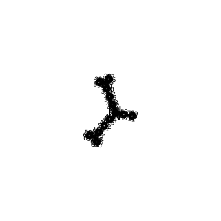 c1ccc(-c2ccc(-c3nc(-c4ccc(-c5ccc(-c6ccc(N(c7ccccc7)c7ccccc7)cc6)cc5)cc4)nc(-c4ccc(-c5ccc(-c6ccc(N(c7ccccc7)c7ccccc7)cc6)cc5)cc4)n3)cc2)cc1